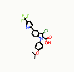 CC(C)Oc1ccc(-n2c(C(=O)O)c(Cl)c3cc(-c4ccc(C(F)(F)F)cn4)ccc32)cc1